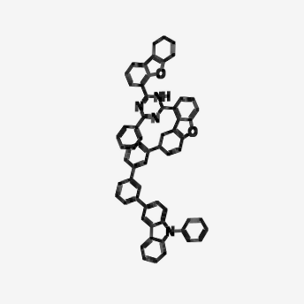 C1=Cc2oc3c(C4=NC(c5ccccc5)=NC(c5cccc6oc7c(c56)CC(c5cccc(-c6cccc(-c8ccc9c(c8)c8ccccc8n9-c8ccccc8)c6)c5)C=C7)N4)cccc3c2CC1